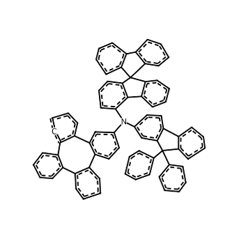 c1ccc(C2(c3ccccc3)c3ccccc3-c3ccc(N(c4ccc5c(c4)-c4ccccc4-c4ccccc4-c4ccccc4-5)c4cccc5c4-c4ccccc4C54c5ccccc5-c5ccccc54)cc32)cc1